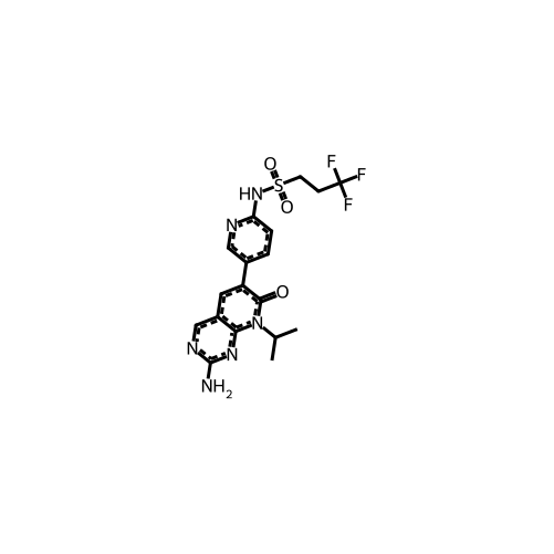 CC(C)n1c(=O)c(-c2ccc(NS(=O)(=O)CCC(F)(F)F)nc2)cc2cnc(N)nc21